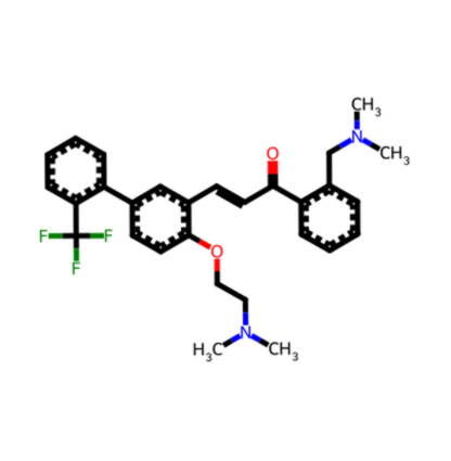 CN(C)CCOc1ccc(-c2ccccc2C(F)(F)F)cc1C=CC(=O)c1ccccc1CN(C)C